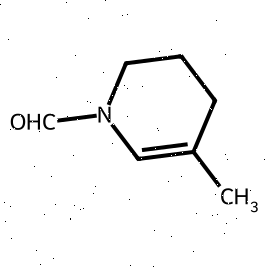 CC1=CN(C=O)CCC1